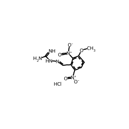 COc1ccc([N+](=O)[O-])c(/C=N/NC(=N)N)c1[N+](=O)[O-].Cl